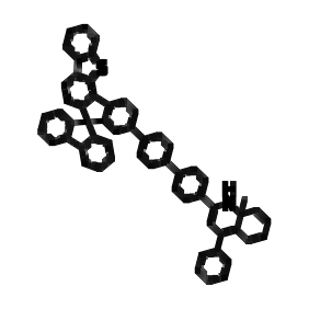 CC12C=CC=CC1=C(c1ccccc1)C=C(c1ccc(-c3ccc(-c4ccc5c(c4)C4(c6ccccc6-c6ccccc64)c4ccc6c(sc7ccccc76)c4-5)cc3)cc1)N2